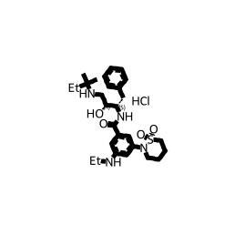 CCNc1cc(C(=O)N[C@@H](Cc2ccccc2)[C@H](O)CNC(C)(C)CC)cc(N2CCCCS2(=O)=O)c1.Cl